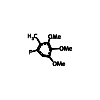 COc1cc(F)c(C)c(OC)c1OC